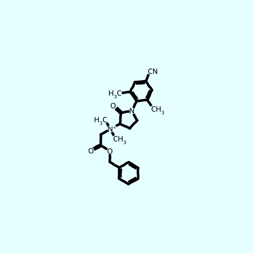 Cc1cc(C#N)cc(C)c1N1CCC([N+](C)(C)CC(=O)OCc2ccccc2)C1=O